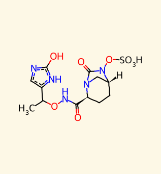 CC(ONC(=O)[C@@H]1CC[C@@H]2CN1C(=O)N2OS(=O)(=O)O)c1cnc(O)[nH]1